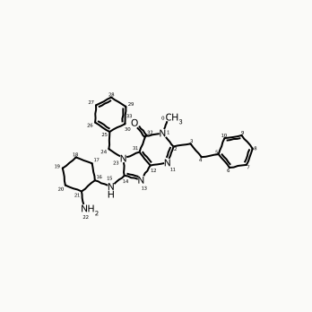 Cn1c(CCc2ccccc2)nc2nc(NC3CCCCC3N)n(Cc3ccccc3)c2c1=O